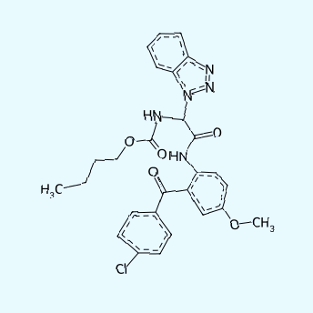 CCCCOC(=O)NC(C(=O)Nc1ccc(OC)cc1C(=O)c1ccc(Cl)cc1)n1nnc2ccccc21